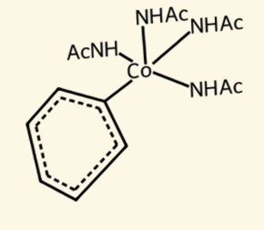 CC(=O)[NH][Co]([NH]C(C)=O)([NH]C(C)=O)([NH]C(C)=O)[c]1ccccc1